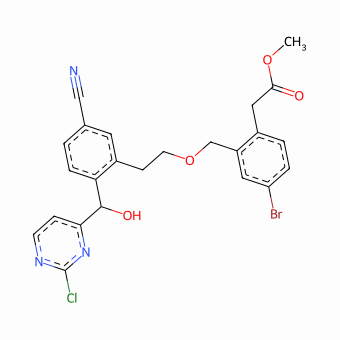 COC(=O)Cc1ccc(Br)cc1COCCc1cc(C#N)ccc1C(O)c1ccnc(Cl)n1